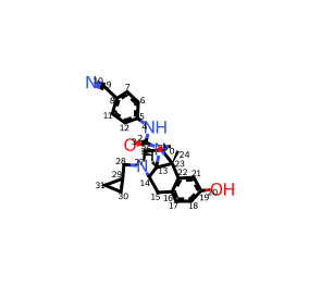 CN(C(=O)Nc1ccc(C#N)cc1)[C@H]1C2Cc3ccc(O)cc3[C@@]1(C)CCN2CC1CC1